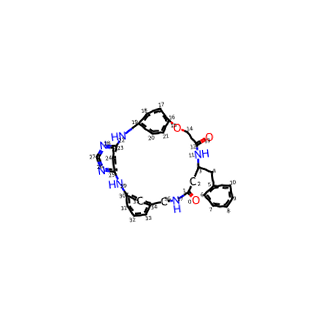 O=C1CC(Cc2ccccc2)NC(=O)COc2ccc(cc2)Nc2cc(ncn2)Nc2cccc(c2)CN1